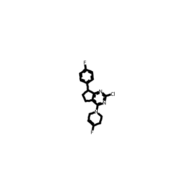 FC1=CCN(c2nc(Cl)nc3c2CCC3c2ccc(F)cc2)CC1